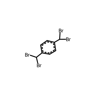 BrC(Br)c1ccc(C(Br)Br)cc1